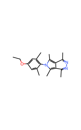 CCOc1cc(C)c(-n2c(C)c3c(C)nnc(C)c3c2C)c(C)c1